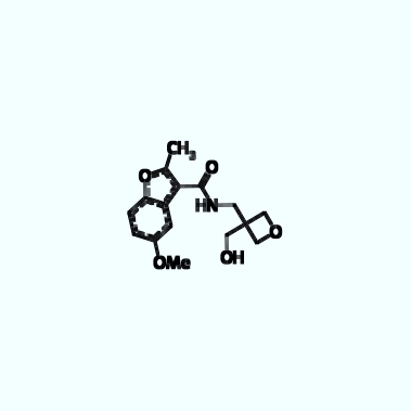 COc1ccc2oc(C)c(C(=O)NCC3(CO)COC3)c2c1